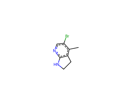 Cc1c(Br)cnc2c1CCN2